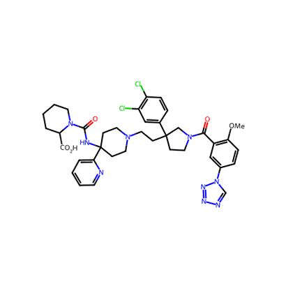 COc1ccc(-n2cnnn2)cc1C(=O)N1CCC(CCN2CCC(NC(=O)N3CCCCC3C(=O)O)(c3ccccn3)CC2)(c2ccc(Cl)c(Cl)c2)C1